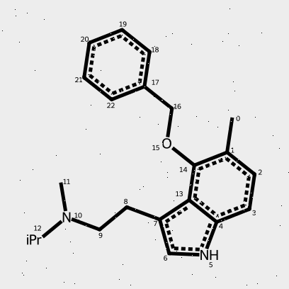 Cc1ccc2[nH]cc(CCN(C)C(C)C)c2c1OCc1ccccc1